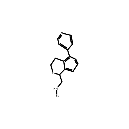 CCNCC1OCCc2c(-c3ccncc3)cccc21